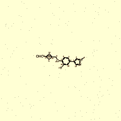 Cn1cc(-c2ccc(OCC34CC(C=O)(C3)C4)c(F)c2)cn1